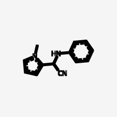 Cn1cccc1C(C#N)Nc1ccccc1